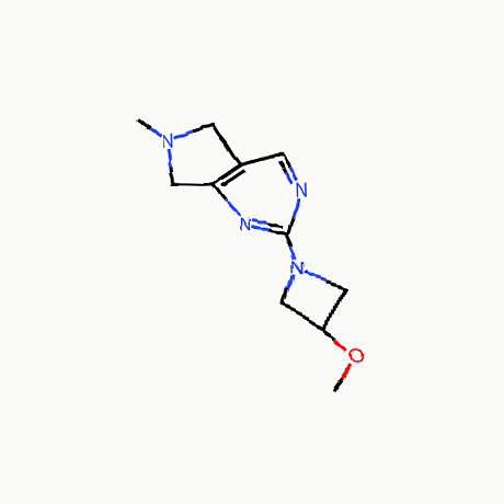 COC1CN(c2ncc3c(n2)CN(C)C3)C1